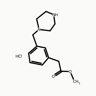 COC(=O)Cc1cccc(CN2CCNCC2)c1.Cl